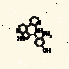 Nc1cc(O)ccc1C1Nc2ncccc2-c2ccnc3[nH]cc1c23